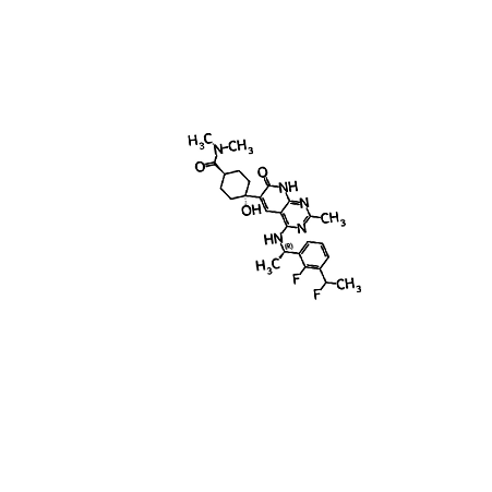 Cc1nc(N[C@H](C)c2cccc(C(C)F)c2F)c2cc([C@]3(O)CC[C@H](C(=O)N(C)C)CC3)c(=O)[nH]c2n1